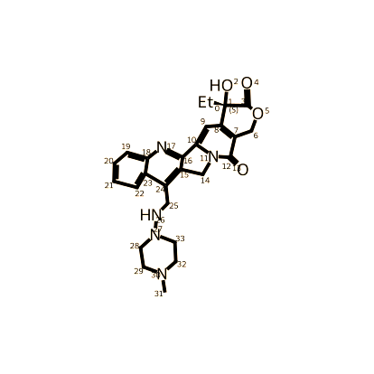 CC[C@@]1(O)C(=O)OCc2c1cc1n(c2=O)Cc2c-1nc1ccccc1c2CNN1CCN(C)CC1